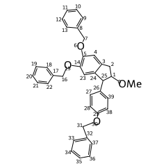 COC1Cc2cc(OCc3ccccc3)c(OCc3ccccc3)cc2C1c1ccc(OCc2ccccc2)cc1